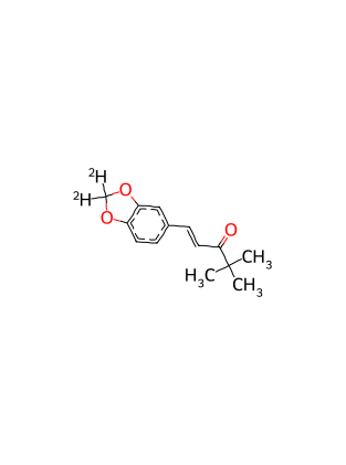 [2H]C1([2H])Oc2ccc(/C=C/C(=O)C(C)(C)C)cc2O1